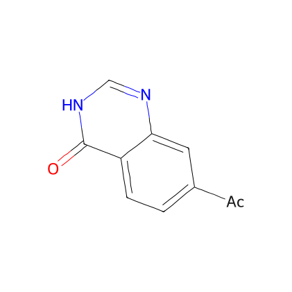 CC(=O)c1ccc2c(=O)[nH]cnc2c1